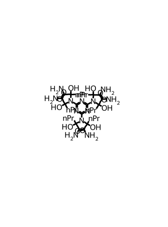 CCCC(O)(C(N)=O)N(c1nc(N(C(O)(CCC)C(N)=O)C(O)(CCC)C(N)=O)nc(N(C(O)(CCC)C(N)=O)C(O)(CCC)C(N)=O)n1)C(O)(CCC)C(N)=O